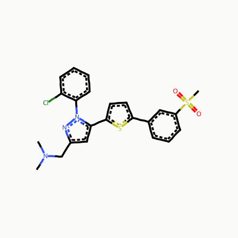 CN(C)Cc1cc(-c2ccc(-c3cccc(S(C)(=O)=O)c3)s2)n(-c2ccccc2Cl)n1